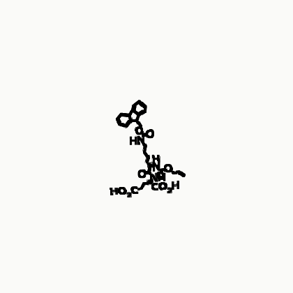 C=CCOC(=O)N[C@@H](CCCCNC(=O)OCC1c2ccccc2-c2ccccc21)C(=O)N[C@@H](CCC(=O)O)C(=O)O